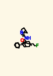 O=C(N[C@H]1CN2CCC3CC312)C12CC3C[C@](CCF)(C1)C[C@@](c1ccccc1)(C3)C2